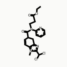 CCOC(=O)CCN(C(=O)C1C=Cc2c(nc(C(Cl)Cl)n2C)C1)c1ccccn1